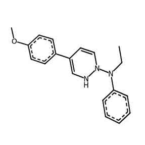 CCN(c1ccccc1)N1C=CC(c2ccc(OC)cc2)=CN1